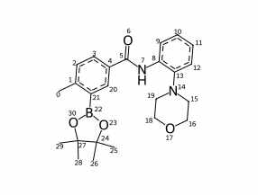 Cc1ccc(C(=O)Nc2ccccc2N2CCOCC2)cc1B1OC(C)(C)C(C)(C)O1